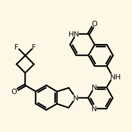 O=C(c1ccc2c(c1)CN(c1nccc(Nc3ccc4c(=O)[nH]ccc4c3)n1)C2)C1CC(F)(F)C1